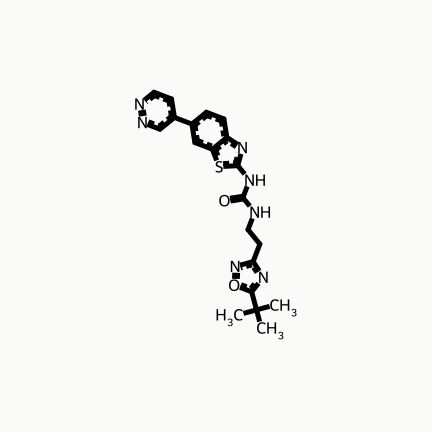 CC(C)(C)c1nc(CCNC(=O)Nc2nc3ccc(-c4ccnnc4)cc3s2)no1